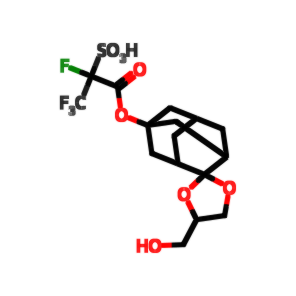 O=C(OC12CC3CC(C1)C1(OCC(CO)O1)C(C3)C2)C(F)(C(F)(F)F)S(=O)(=O)O